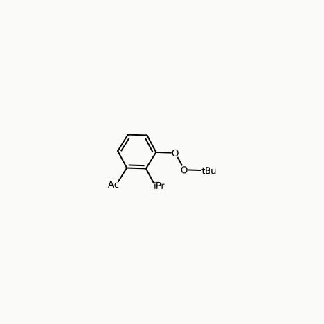 CC(=O)c1cccc(OOC(C)(C)C)c1C(C)C